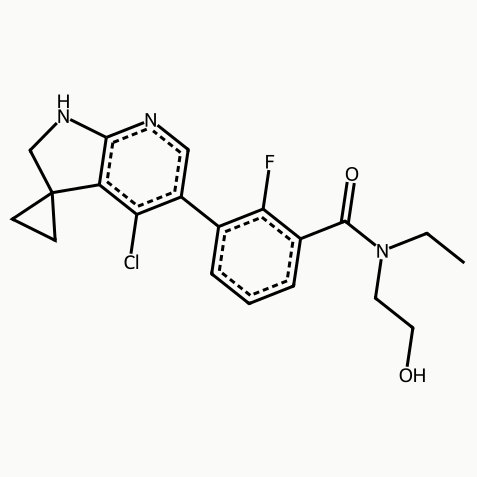 CCN(CCO)C(=O)c1cccc(-c2cnc3c(c2Cl)C2(CC2)CN3)c1F